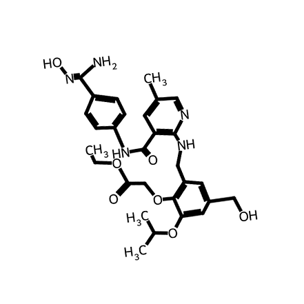 CCOC(=O)COc1c(CNc2ncc(C)cc2C(=O)Nc2ccc(/C(N)=N/O)cc2)cc(CO)cc1OC(C)C